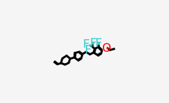 C=CC1CCC(c2ccc(CCc3ccc(OCC)c(F)c3C(F)(F)F)cc2)CC1